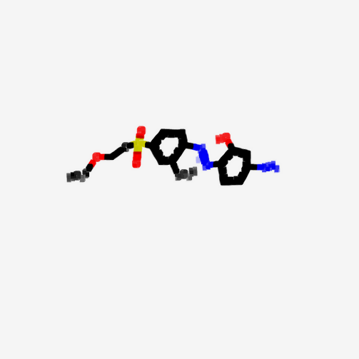 Nc1ccc(/N=N/c2ccc(S(=O)(=O)CCOS(=O)(=O)O)cc2S(=O)(=O)O)c(O)c1